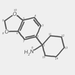 NC1(c2ccc3c(c2)OCO3)CCCCC1